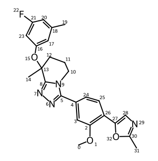 COc1cc(-c2nnc3n2CCCC3(C)Oc2cc(C)cc(F)c2)ccc1-c1cnc(C)o1